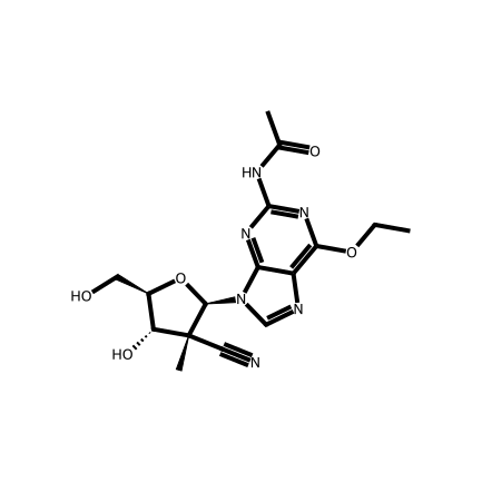 CCOc1nc(NC(C)=O)nc2c1ncn2[C@@H]1O[C@H](CO)[C@@H](O)[C@@]1(C)C#N